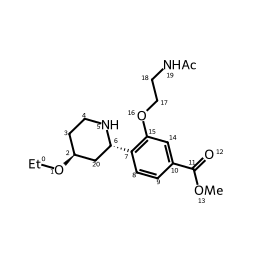 CCO[C@H]1CCN[C@H](c2ccc(C(=O)OC)cc2OCCNC(C)=O)C1